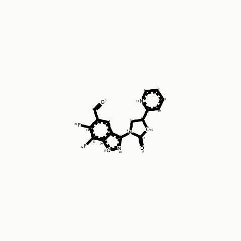 O=Cc1cc2c(N3CC(c4ccccn4)OC3=O)noc2c(F)c1F